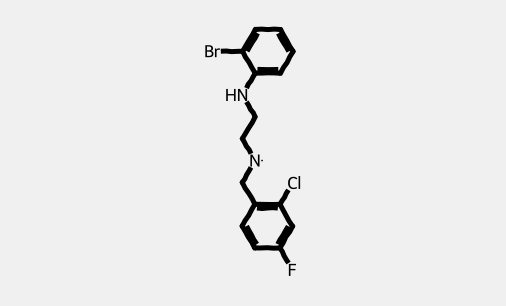 Fc1ccc(C[N]CCNc2ccccc2Br)c(Cl)c1